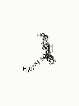 CCCCCCCCCCO[C@H]1[C@@H](CNC(=O)Nc2ccc(CC(=O)O)cc2)OC2OC3(CCCCC3)O[C@@H]21